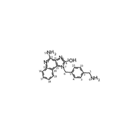 NCc1ccc(Cn2c(O)nc3c(N)nc4ccccc4c32)cc1